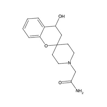 NC(=O)CN1CCC2(CC1)CC(O)c1ccccc1O2